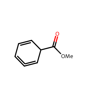 COC(=O)C1C=C=CC=C1